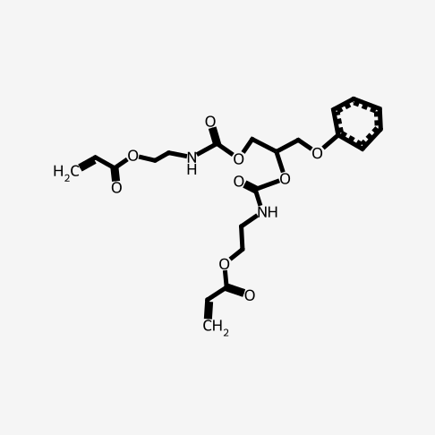 C=CC(=O)OCCNC(=O)OCC(COc1ccccc1)OC(=O)NCCOC(=O)C=C